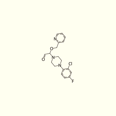 O=CC(OCc1ccccn1)N1CCN(c2ccc(F)cc2Cl)CC1